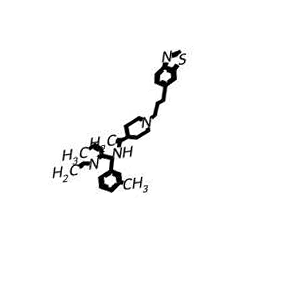 C=C/N=C(\C=C/C)C(NC(=C)C1CCN(CCCc2ccc3ncsc3c2)CC1)c1cccc(C)c1